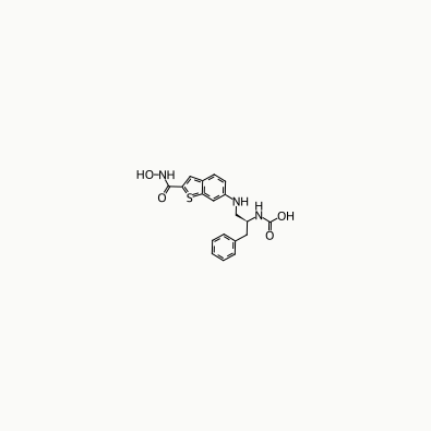 O=C(O)N[C@H](CNc1ccc2cc(C(=O)NO)sc2c1)Cc1ccccc1